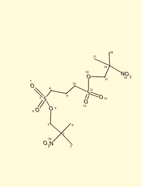 CC(C)(COS(=O)(=O)CCCS(=O)(=O)OCC(C)(C)[N+](=O)[O-])[N+](=O)[O-]